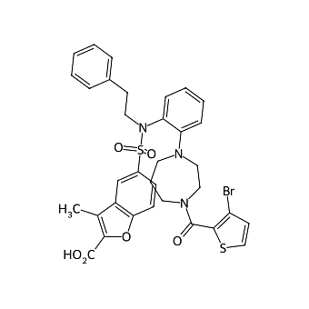 Cc1c(C(=O)O)oc2ccc(S(=O)(=O)N(CCc3ccccc3)c3ccccc3N3CCCN(C(=O)c4sccc4Br)CC3)cc12